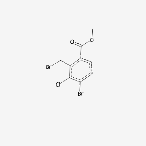 COC(=O)c1ccc(Br)c(Cl)c1CBr